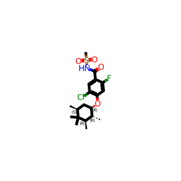 C[C@@H]1[C@@H](C)C(C)(C)[C@@H](C)C[C@H]1Oc1cc(F)c(C(=O)NS(C)(=O)=O)cc1Cl